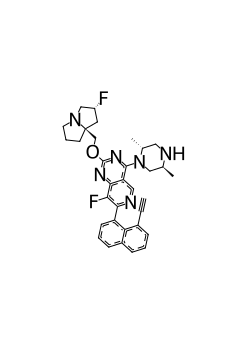 C#Cc1cccc2cccc(-c3ncc4c(N5C[C@H](C)NC[C@H]5C)nc(OC[C@@]56CCCN5C[C@H](F)C6)nc4c3F)c12